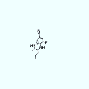 CCCC(Nc1ncc(C#N)cc1F)C(C)S